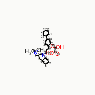 CN(C)CC1Cc2ccccc2N(CCCc2ccc(-c3ccccc3)cc2)C1.O=C(O)C(=O)O